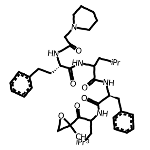 CC(C)CC(NC(=O)[C@H](CCc1ccccc1)NC(=O)CN1CCCCC1)C(=O)N[C@@H](Cc1ccccc1)C(=O)NC(CC(C)C)C(=O)C1(C)CO1